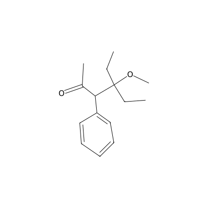 CCC(CC)(OC)C(C(C)=O)c1ccccc1